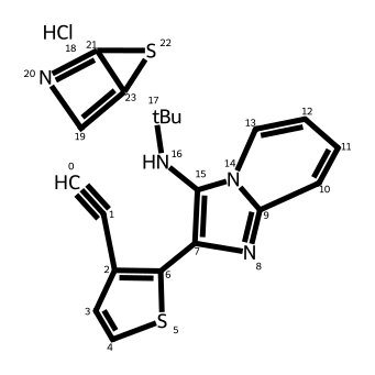 C#Cc1ccsc1-c1nc2ccccn2c1NC(C)(C)C.Cl.c1nc2sc1-2